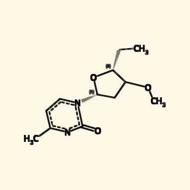 CC[C@H]1O[C@@H](n2ccc(C)nc2=O)CC1OC